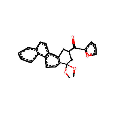 COC1(OC)CC(C(=O)c2ccco2)Cc2c1ccc1c2ccc2ccccc21